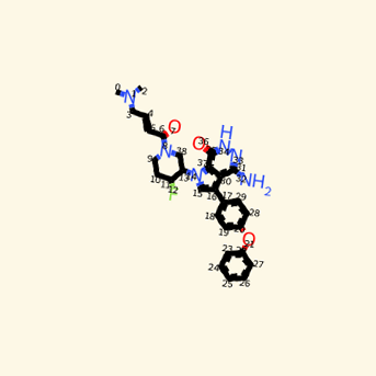 CN(C)CC=CC(=O)N1CCC(F)C(n2cc(-c3ccc(Oc4ccccc4)cc3)c3c(N)n[nH]c(=O)c32)C1